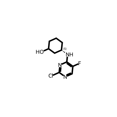 OC1CCC[C@H](Nc2nc(Cl)ncc2F)C1